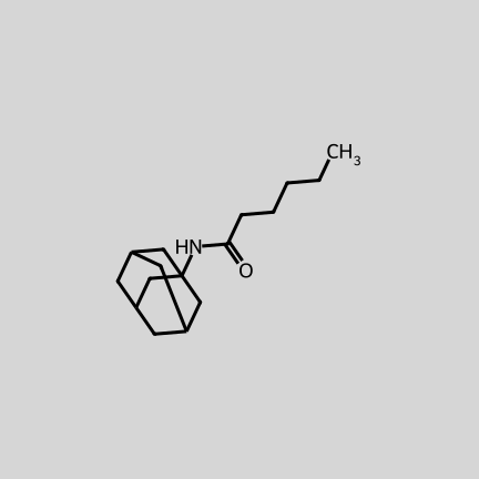 CCCCCC(=O)NC12CC3CC(CC(C3)C1)C2